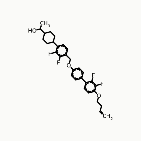 C=CCCOc1ccc(-c2ccc(OCc3ccc(C4CCC(C(C)O)CC4)c(F)c3F)cc2)c(F)c1F